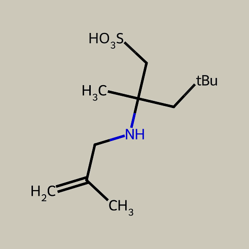 C=C(C)CNC(C)(CC(C)(C)C)CS(=O)(=O)O